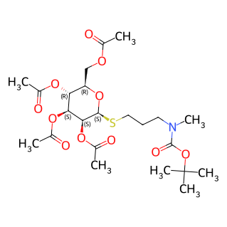 CC(=O)OC[C@H]1O[C@@H](SCCCN(C)C(=O)OC(C)(C)C)[C@@H](OC(C)=O)[C@@H](OC(C)=O)[C@@H]1OC(C)=O